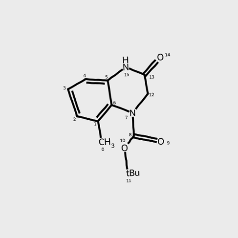 Cc1cccc2c1N(C(=O)OC(C)(C)C)CC(=O)N2